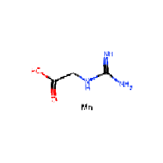 N=C(N)NCC(=O)O.[Mn]